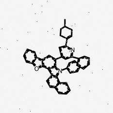 CC1CC=C(c2cc(-c3cc4c5ccccc5oc4c4c5ccc6ccccc6c5n(-c5ccccc5)c34)cc(-c3ccccc3)n2)CC1